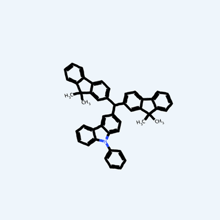 CC1(C)c2ccccc2-c2ccc(C(c3ccc4c(c3)C(C)(C)c3ccccc3-4)c3ccc4c(c3)c3ccccc3n4-c3ccccc3)cc21